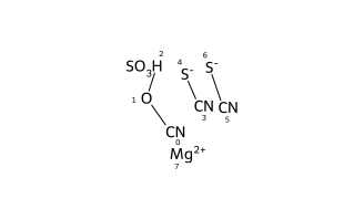 N#COS(=O)(=O)O.N#C[S-].N#C[S-].[Mg+2]